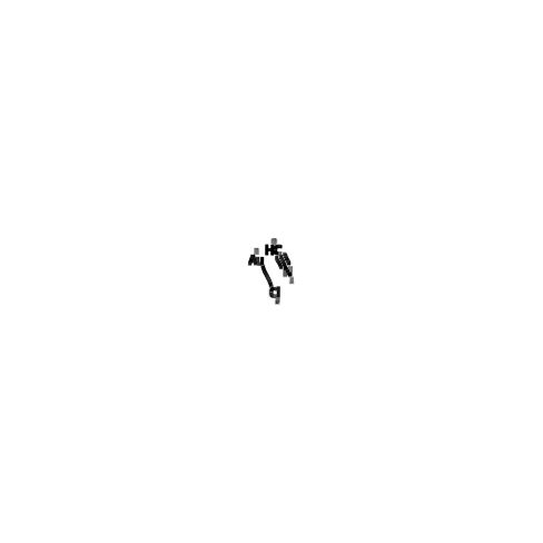 C#N.[Cl][Au]